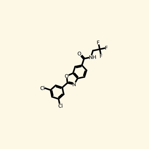 O=C(NCC(F)(F)F)c1ccc2nc(-c3cc(Cl)cc(Cl)c3)oc2c1